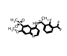 COc1cc2nccc(N[C@H](C)c3cccc(C(F)F)c3F)c2cc1S(C)(=O)=O